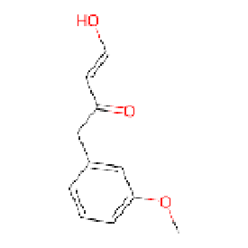 COc1cccc(CC(=O)C=CO)c1